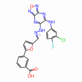 O=C(O)c1cccc(-c2ccc(/C=N/Nc3nc4nonc4nc3Nc3ccc(F)c(Cl)c3)o2)c1